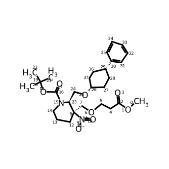 COC(=O)CCOC[C@]1([N+](=O)[O-])CCCN(C(=O)OC(C)(C)C)[C@H]1CO[C@H]1CC[C@@H](c2ccccc2)CC1